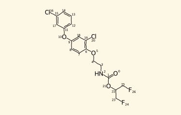 O=C(NCCOc1ccc(Oc2cccc(Cl)c2)cc1Cl)OC(CF)CF